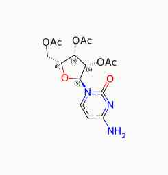 CC(=O)OC[C@H]1O[C@H](n2ccc(N)nc2=O)[C@@H](OC(C)=O)[C@H]1OC(C)=O